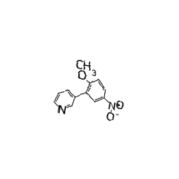 COc1ccc([N+](=O)[O-])cc1-c1cccnc1